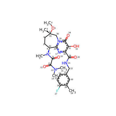 CO[C@@]1(C)CC[C@H](N(C)C(=O)C(=O)N(C)C)c2nc(C(=O)NCc3ccc(F)c(C)c3)c(O)c(=O)n2C1